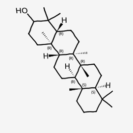 CC1(C)CCC[C@]2(C)[C@H]3CC[C@@H]4[C@@]5(C)CCC(O)C(C)(C)[C@@H]5CC[C@@]4(C)[C@]3(C)CC[C@@H]12